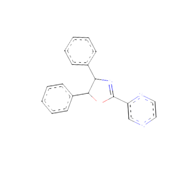 c1ccc(C2N=C(c3cnccn3)OC2c2ccccc2)cc1